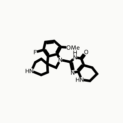 COc1ccc(F)c2c1N(c1nc3c(c(=O)[nH]1)CCCN3)CC21CCNCC1